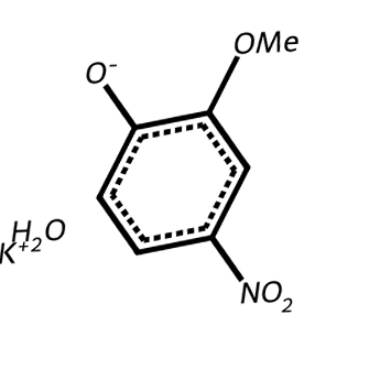 COc1cc([N+](=O)[O-])ccc1[O-].O.[K+]